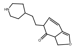 O=C1C(CCC2CCNCC2)C=CC2=COCC12